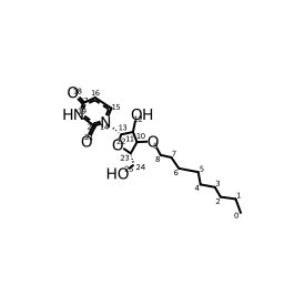 CCCCCCCCCOC1C(O)[C@@H](n2ccc(=O)[nH]c2=O)O[C@H]1CO